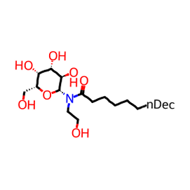 CCCCCCCCCCCCCCCC(=O)N(CCO)[C@@H]1O[C@H](CO)[C@H](O)[C@H](O)[C@H]1O